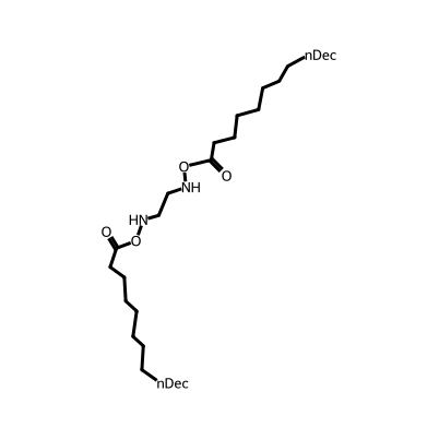 CCCCCCCCCCCCCCCCCC(=O)ONCCNOC(=O)CCCCCCCCCCCCCCCCC